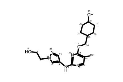 OCCn1cc(Nc2ncc(F)c(OCC3CCC(O)CC3)n2)cn1